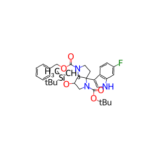 CC(C)(C)OC(=O)N1CC(O[Si](C)(C)C(C)(C)C)C2N(C(=O)OCc3ccccc3)CCC21c1c[nH]c2cc(F)ccc12